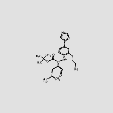 CC(C)CC(C=O)N(Nc1ccc(-c2cnco2)cc1CCCO)C(=O)OC(C)(C)C